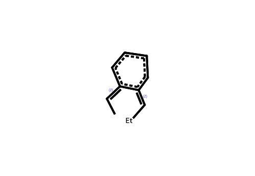 C/C=c1/cccc/c1=C/CC